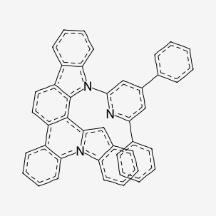 c1ccc(-c2cc(-c3ccccc3)nc(-n3c4ccccc4c4ccc5c6ccccc6n6c7ccccc7cc6c5c43)c2)cc1